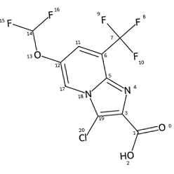 O=C(O)c1nc2c(C(F)(F)F)cc(OC(F)F)cn2c1Cl